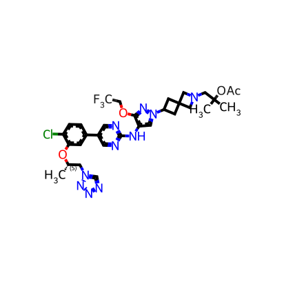 CC(=O)OC(C)(C)CN1CC2(CC(n3cc(Nc4ncc(-c5ccc(Cl)c(O[C@@H](C)Cn6cnnn6)c5)cn4)c(OCC(F)(F)F)n3)C2)C1